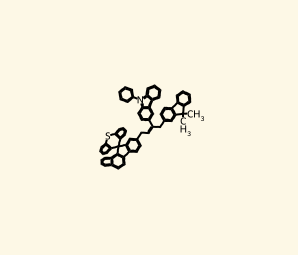 CC1(C)c2ccccc2-c2ccc(C/C(=C/Cc3ccc4c(c3)C3(c5ccccc5Sc5ccccc53)c3c-4ccc4ccccc34)c3ccc4c(c3)c3ccccc3n4-c3ccccc3)cc21